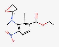 CCOC(=O)c1ccc([N+](=O)[O-])c(N(C)[C@@H]2CCO2)c1C